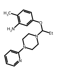 CCC(Oc1ccc(C)c(N)c1)N1CCN(c2ccccn2)CC1